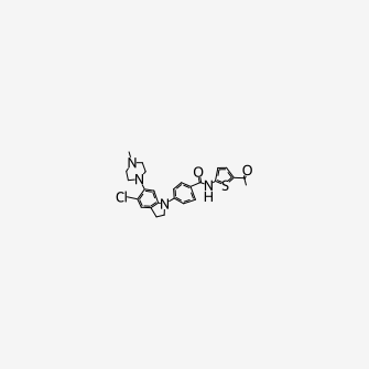 CC(=O)c1ccc(NC(=O)c2ccc(N3CCc4cc(Cl)c(N5CCN(C)CC5)cc43)cc2)s1